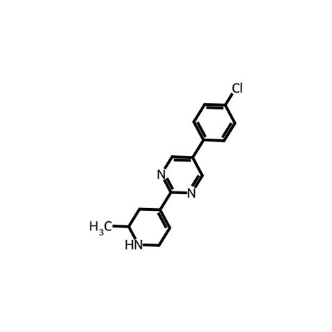 CC1CC(c2ncc(-c3ccc(Cl)cc3)cn2)=CCN1